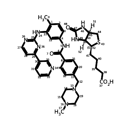 Cc1ccc(NC(=O)c2ccc(CN3CCN(C)CC3)cc2)cc1Nc1nccc(-c2cccnc2)n1.O=C(O)CCCC[C@@H]1SC[C@@H]2NC(=O)N[C@@H]21